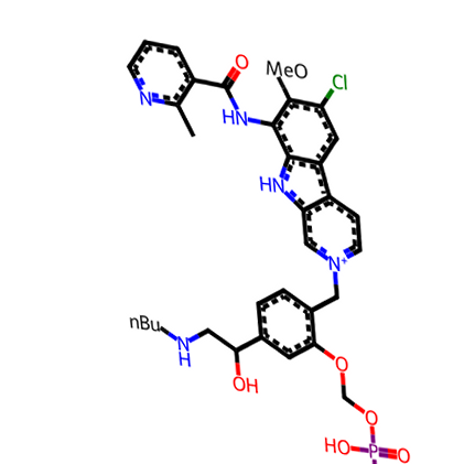 CCCCNCC(O)c1ccc(C[n+]2ccc3c(c2)[nH]c2c(NC(=O)c4cccnc4C)c(OC)c(Cl)cc23)c(OCOP(=O)(O)O)c1